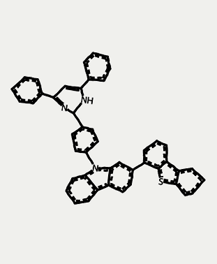 C1=C(c2ccccc2)NC(c2ccc(-n3c4ccccc4c4ccc(-c5cccc6c5sc5ccccc56)cc43)cc2)N=C1c1ccccc1